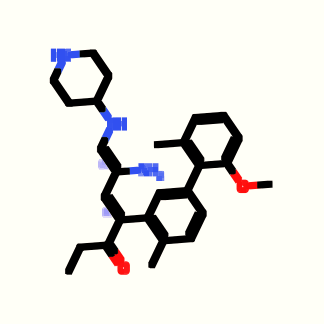 CCC(=O)/C(=C/C(N)=C/NC1CCNCC1)c1cc(-c2c(C)cccc2OC)ccc1C